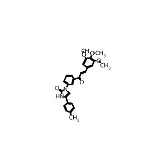 COc1cc(/C=C/C(=O)c2cccc(-n3cc(-c4ccc(C)cc4)[nH]c3=O)c2)cc(OC)c1OC